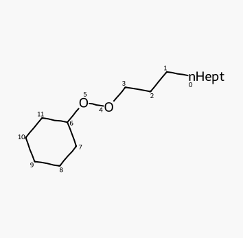 CCCCCCCCCCOOC1CCCCC1